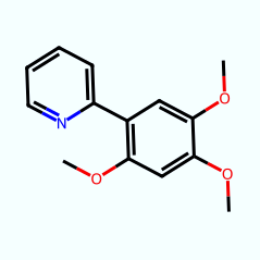 COc1cc(OC)c(-c2ccccn2)cc1OC